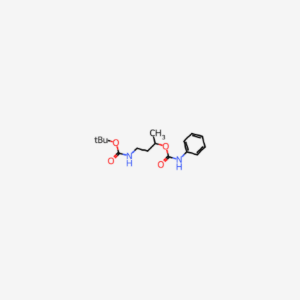 CC(CCNC(=O)OC(C)(C)C)OC(=O)Nc1ccccc1